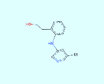 CCc1cncc(Nc2ccccc2CCO)c1